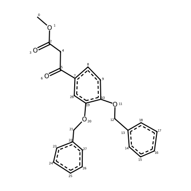 COC(=O)CC(=O)c1ccc(OCc2ccccc2)c(OCc2ccccc2)c1